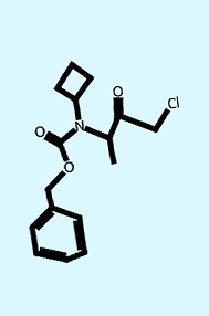 CC(C(=O)CCl)N(C(=O)OCc1ccccc1)C1CCC1